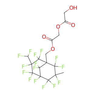 CC1(F)C(F)(F)C2(F)C(F)(F)C(F)(C(F)F)C(F)(F)C(COC(=O)COC(=O)CO)(C1(F)F)C2(F)F